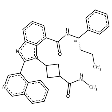 CCC[C@H](NC(=O)c1cccc2nc(-c3cncc4ccccc34)n(C3CC(C(=O)NC)C3)c12)c1ccccc1